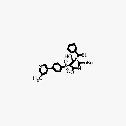 CCCCc1nc(=O)c(S(=O)(=O)c2ccc(-c3cncc(C)c3)cc2)c(O)n1C(CC)c1ccccc1